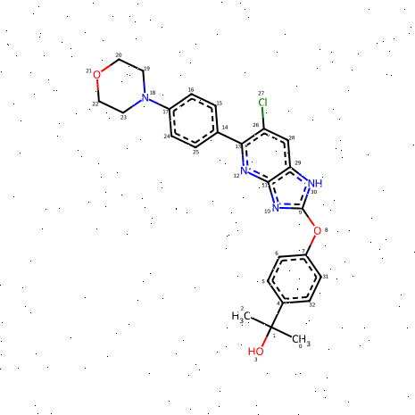 CC(C)(O)c1ccc(Oc2nc3nc(-c4ccc(N5CCOCC5)cc4)c(Cl)cc3[nH]2)cc1